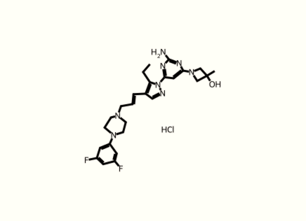 CCc1c(/C=C/CN2CCN(c3cc(F)cc(F)c3)CC2)cnn1-c1cc(N2CC(C)(O)C2)nc(N)n1.Cl